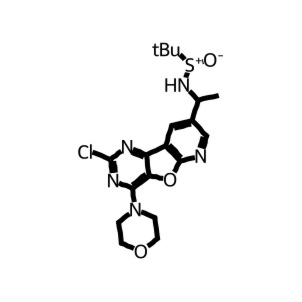 CC(N[S+]([O-])C(C)(C)C)c1cnc2oc3c(N4CCOCC4)nc(Cl)nc3c2c1